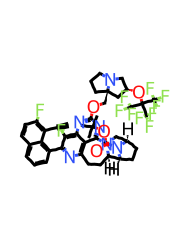 C#Cc1c(F)ccc2cccc(-c3nc4c5c(nc(OC[C@@]67CCCN6C[C@@H](OC(C(F)(F)F)(C(F)(F)F)C(F)(F)F)C7)nc5c3F)N3C[C@H]5CC[C@@H]([C@H]3CC4)N5C(=O)OC(C)(C)C)c12